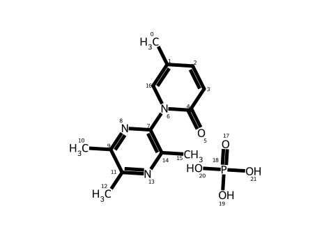 Cc1ccc(=O)n(-c2nc(C)c(C)nc2C)c1.O=P(O)(O)O